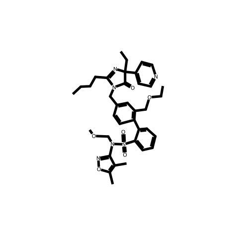 CCCCC1=NC(CC)(c2ccncc2)C(=O)N1Cc1ccc(-c2ccccc2S(=O)(=O)N(COC)c2noc(C)c2C)c(COCC)c1